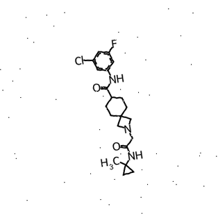 CC1(NC(=O)CN2CC3(CCC(C(=O)Nc4cc(F)cc(Cl)c4)CC3)C2)CC1